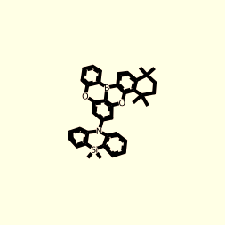 CC1(C)CCC(C)(C)c2c1ccc1c2Oc2cc(N3c4ccccc4[Si](C)(C)c4ccccc43)cc3c2B1c1ccccc1O3